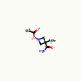 CNC1(C(N)=O)CN(OC(=O)C(C)(C)C)C1